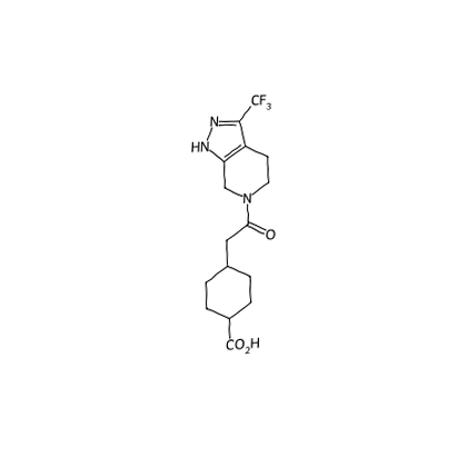 O=C(O)C1CCC(CC(=O)N2CCc3c(C(F)(F)F)n[nH]c3C2)CC1